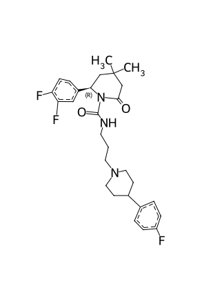 CC1(C)CC(=O)N(C(=O)NCCCN2CCC(c3ccc(F)cc3)CC2)[C@@H](c2ccc(F)c(F)c2)C1